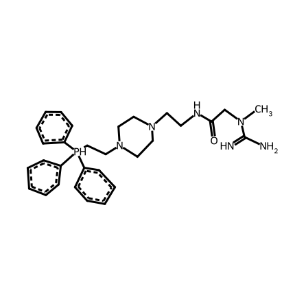 CN(CC(=O)NCCN1CCN(CC[PH](c2ccccc2)(c2ccccc2)c2ccccc2)CC1)C(=N)N